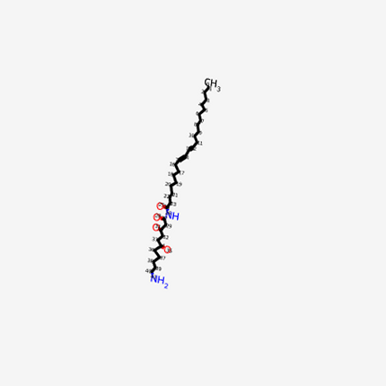 CCCCCCCCCCCCC#CC#CCCCCCCCCC(=O)NC(=O)CC(=O)CCC(=O)CCCCCN